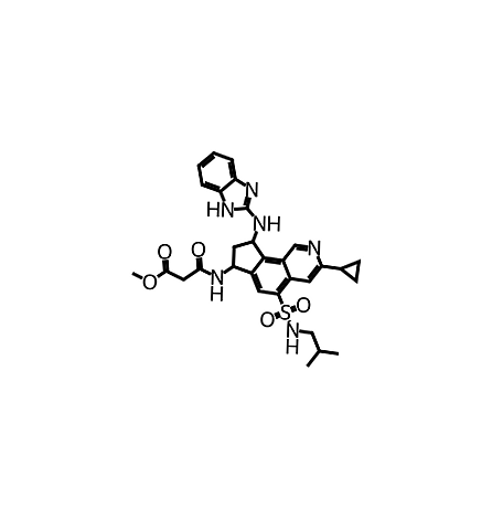 COC(=O)CC(=O)NC1CC(Nc2nc3ccccc3[nH]2)c2c1cc(S(=O)(=O)NCC(C)C)c1cc(C3CC3)ncc21